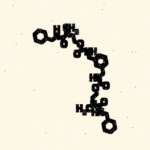 CN(CCOC(=O)NCc1cccc(CNC(=O)OCCN(C)C(=O)NCC2CCCCC2)c1)C(=O)NCC1CCCCC1